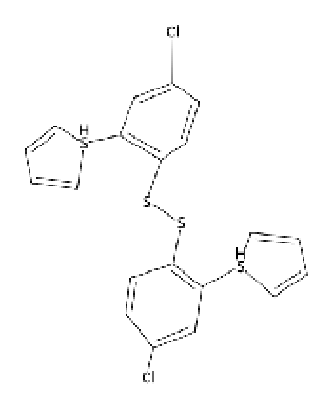 Clc1ccc(SSc2ccc(Cl)cc2[SH]2C=CC=C2)c([SH]2C=CC=C2)c1